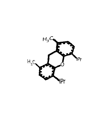 Cc1ccc(C(C)C)c2c1Cc1c(C)ccc(C(C)C)c1O2